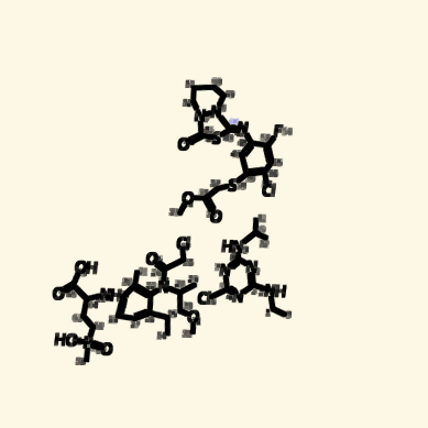 CCNc1nc(Cl)nc(NC(C)C)n1.CCc1cccc(C)c1N(C(=O)CCl)C(C)COC.COC(=O)CSc1cc(/N=c2\sc(=O)n3n2CCCC3)c(F)cc1Cl.CP(=O)(O)CCC(N)C(=O)O